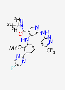 [2H]C([2H])([2H])NC(=O)c1cnc(Nc2ccc(C(F)(F)F)nn2)cc1Nc1cccc(-c2ncc(F)cn2)c1OC